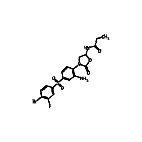 CCC(=O)NC1CN(c2ccc(S(=O)(=O)c3ccc(Br)c(F)c3)cc2N)C(=O)O1